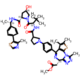 COC(=O)C[C@@H]1N=C(c2ccc(N3CCC(C(=O)N[C@H](C(=O)N4C[C@H](O)C[C@H]4C(=O)N[C@@H](C)c4ccc(-c5scnc5C)cc4)C(C)(C)C)C3)cc2)c2c(sc(C)c2C)-n2c(C)nnc21